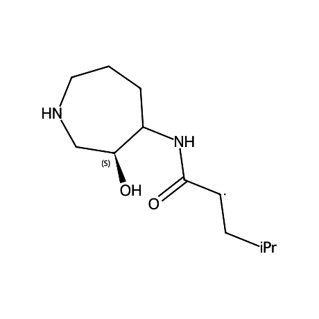 CC(C)C[CH]C(=O)NC1CCCNC[C@@H]1O